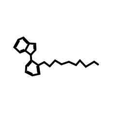 CCCCCCCCCCc1ccccc1[C]1C=Cc2ccccc21